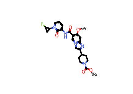 CC(C)Oc1cc2nc(C3CCN(C(=O)OC(C)(C)C)CC3)cn2cc1C(=O)Nc1cccn(C2CC2F)c1=O